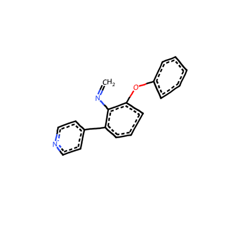 C=Nc1c(Oc2ccccc2)cccc1-c1ccncc1